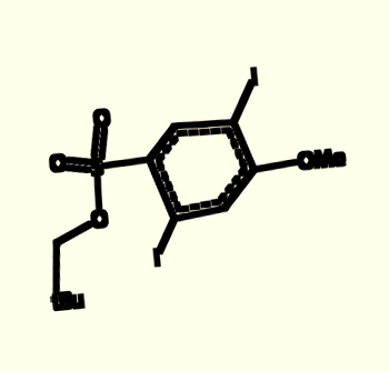 COc1cc(I)c(S(=O)(=O)OCC(C)(C)C)cc1I